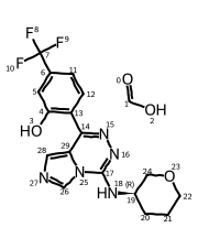 O=CO.Oc1cc(C(F)(F)F)ccc1-c1nnc(N[C@@H]2CCCOC2)n2cncc12